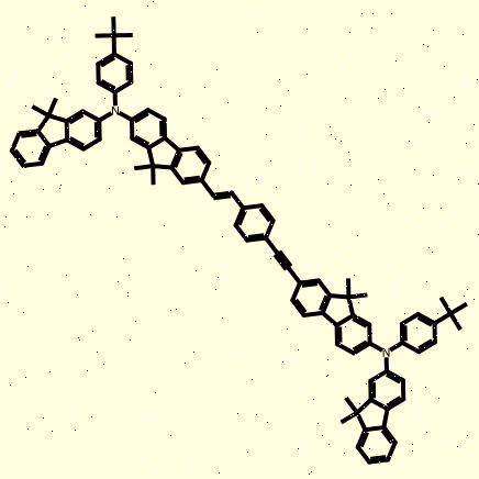 CC(C)(C)c1ccc(N(c2ccc3c(c2)C(C)(C)c2ccccc2-3)c2ccc3c(c2)C(C)(C)c2cc(C#Cc4ccc(/C=C/c5ccc6c(c5)C(C)(C)c5cc(N(c7ccc(C(C)(C)C)cc7)c7ccc8c(c7)C(C)(C)c7ccccc7-8)ccc5-6)cc4)ccc2-3)cc1